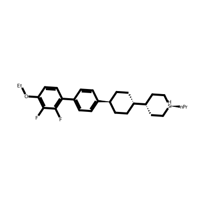 CCC[Si@H]1CC[C@H]([C@H]2CC[C@H](c3ccc(-c4ccc(OCC)c(F)c4F)cc3)CC2)CC1